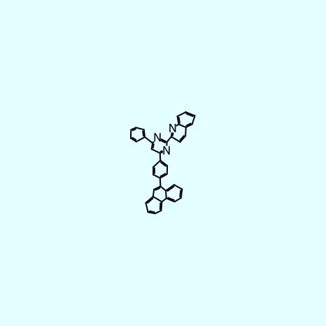 c1ccc(-c2cc(-c3ccc(-c4cc5ccccc5c5ccccc45)cc3)nc(-c3ccc4ccccc4n3)n2)cc1